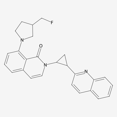 O=c1c2c(N3CCC(CF)C3)cccc2ccn1C1CC1c1ccc2ccccc2n1